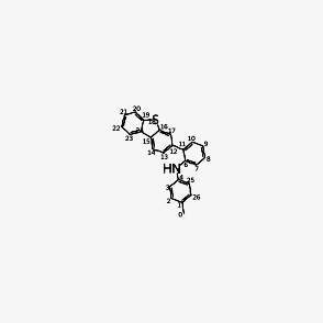 Cc1ccc(Nc2ccccc2-c2ccc3c(c2)sc2ccccc23)cc1